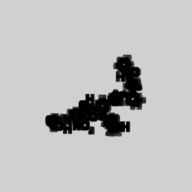 CC1(C)CCC(CN2CCN(c3ccc(C(=O)NS(=O)(=O)c4ccc(NC[C@H]5COCCO5)c([N+](=O)[O-])c4)c(Oc4cnc5[nH]ccc5c4)c3)CC2)=C(c2cc(NC(=O)c3ccccc3)cs2)C1